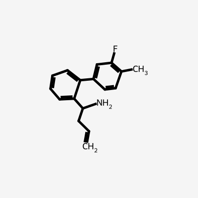 C=CCC(N)c1ccccc1-c1ccc(C)c(F)c1